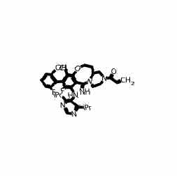 C=CC(=O)N1CCN2C(=N)c3c(Nc4c(C(C)C)ncnc4C(C)C)c(F)c(-c4c(O)cccc4F)c(Cl)c3OCCC2C1